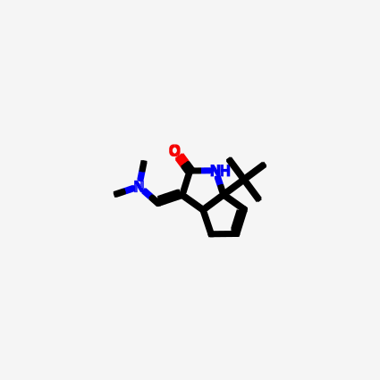 CN(C)C=C1C(=O)NC2(C(C)(C)C)C=CCC12